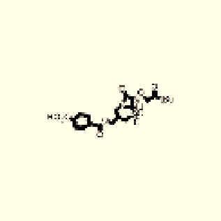 CC(C)(C)C(=O)CO[C@H]1C(=O)N2C=C(COC(=O)c3ccc(C(=O)O)cc3)CS(=O)(=O)[C@@H]12